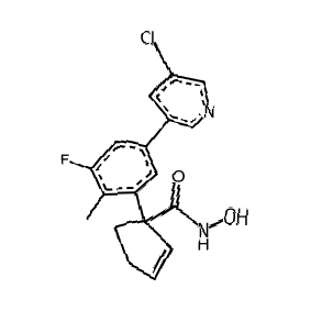 Cc1c(F)cc(-c2cncc(Cl)c2)cc1C1(C(=O)NO)C=CCC1